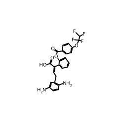 Nc1ccc(N)c(C/C=C(/C(=O)O)c2ccccc2OC(=O)c2ccc(OC(F)(F)C(F)F)cc2)c1